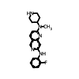 CN(c1ccc2cnc(Nc3ccccc3F)cc2n1)C1CCNCC1